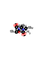 Cc1cc(C(C)(C)C)cc(C)c1N1c2cc3c(cc2B2c4oc5ccc(C(C)(C)C)cc5c4N(c4c(C)cc5c(c4C)OCCO5)c4cc(C(C)(C)C)cc1c42)OCCO3